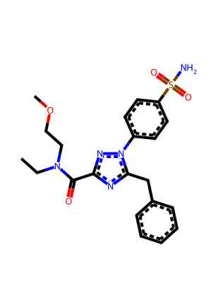 CCN(CCOC)C(=O)c1nc(Cc2ccccc2)n(-c2ccc(S(N)(=O)=O)cc2)n1